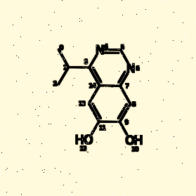 CC(C)c1ncnc2cc(O)c(O)cc12